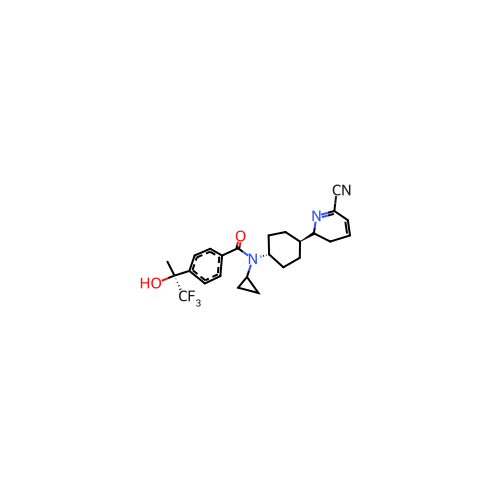 C[C@](O)(c1ccc(C(=O)N(C2CC2)[C@H]2CC[C@H](C3CC=CC(C#N)=N3)CC2)cc1)C(F)(F)F